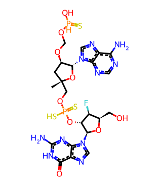 C[C@@]1(COP(=S)(S)O[C@@H]2[C@@H](F)[C@@H](CO)O[C@H]2n2cnc3c(=O)[nH]c(N)nc32)C[C@@H](OCO[PH](O)=S)[C@H](n2cnc3c(N)ncnc32)O1